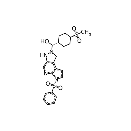 CS(=O)(=O)[C@H]1CC[C@H](C(O)N2Cc3c(cnc4c3ccn4S(=O)(=O)c3ccccc3)N2)CC1